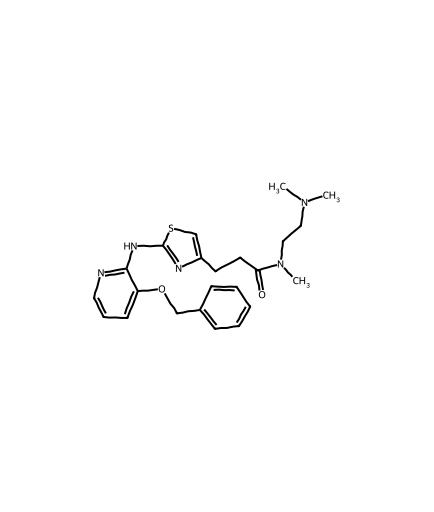 CN(C)CCN(C)C(=O)CCc1csc(Nc2ncccc2OCc2ccccc2)n1